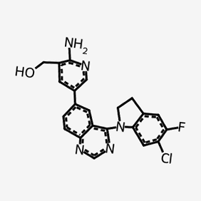 Nc1ncc(-c2ccc3ncnc(N4CCc5cc(F)c(Cl)cc54)c3c2)cc1CO